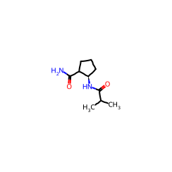 CC(C)C(=O)N[C@@H]1CCCC1C(N)=O